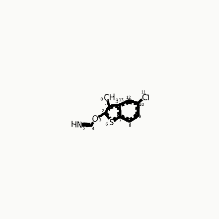 Cc1c(OC=N)sc2ccc(Cl)cc12